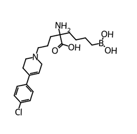 NC(CCCCB(O)O)(CCCN1CC=C(c2ccc(Cl)cc2)CC1)C(=O)O